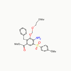 COCCOCOc1c(N)c(S(=O)(=O)c2ccc(OC)cc2)cc(C(=O)OC)c1Cc1ccccc1